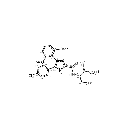 COc1cccc(OC)c1-c1cc(C(=O)N[C@H](CC(C)C)C(=O)C(=O)O)nn1-c1ccc(Cl)cc1